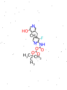 Cc1c(O)cncc1Cc1ccnc(NC(=O)OC(=O)OC(C)(C)C)c1F